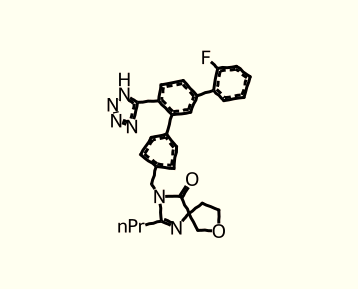 CCCC1=NC2(CCOC2)C(=O)N1Cc1ccc(-c2cc(-c3ccccc3F)ccc2-c2nnn[nH]2)cc1